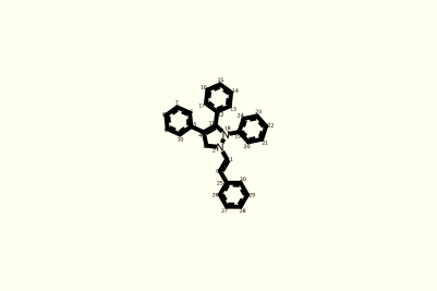 C(=CN1CC(c2ccccc2)=C(c2ccccc2)N1c1ccccc1)c1ccccc1